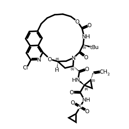 C=C[C@@H]1C[C@]1(NC(=O)[C@@H]1C[C@@H]2CN1C(=O)[C@H](C(C)(C)C)NC(=O)OCCCCCc1ccc3cc(Cl)nc(c3c1)O2)C(=O)NS(=O)(=O)C1CC1